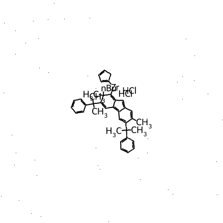 CCCCC1(C)C(C(C)(C)c2ccccc2)=CC2=c3cc(C(C)(C)c4ccccc4)c(C)cc3=CC2=[C]1[Zr][C]1=CC=CC1.Cl.Cl